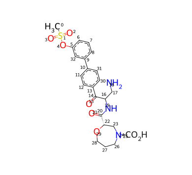 CS(=O)(=O)Oc1cccc(-c2ccc(C(=O)C(CN)NC(=O)[C@@H]3CN(C(=O)O)CCCO3)cc2)c1